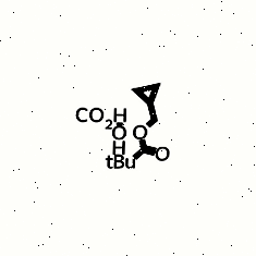 CC(C)(C)C(=O)OCC1CC1.O=C(O)O